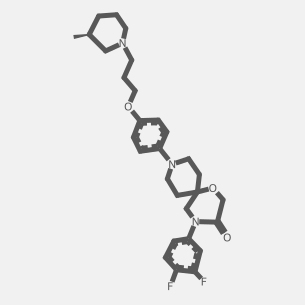 C[C@H]1CCCN(CCCOc2ccc(N3CCC4(CC3)CN(c3ccc(F)c(F)c3)C(=O)CO4)cc2)C1